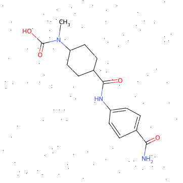 CN(C(=O)O)C1CCC(C(=O)Nc2ccc(C(N)=O)cc2)CC1